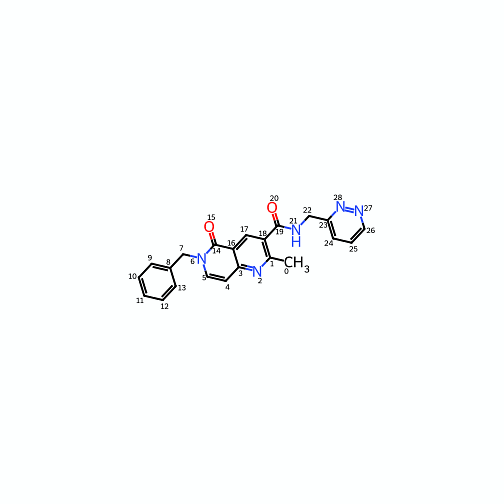 Cc1nc2ccn(Cc3ccccc3)c(=O)c2cc1C(=O)NCc1cccnn1